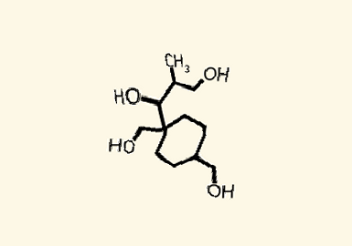 CC(CO)C(O)C1(CO)CCC(CO)CC1